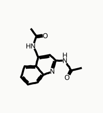 CC(=O)Nc1cc(NC(C)=O)c2ccccc2n1